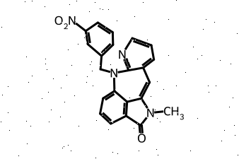 CN1C(=O)c2cccc3c2C1=Cc1cccnc1N3Cc1cccc([N+](=O)[O-])c1